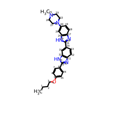 CCCCOc1ccc(-c2nc3ccc(-c4nc5ccc(N6CCN(C)CC6)cc5[nH]4)cc3[nH]2)cc1